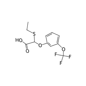 CCSC(Oc1cccc(OC(F)(F)F)c1)C(=O)O